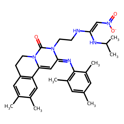 Cc1cc(C)c(/N=c2\cc3n(c(=O)n2CCN/C(=C/[N+](=O)[O-])NC(C)C)CCc2cc(C)c(C)cc2-3)c(C)c1